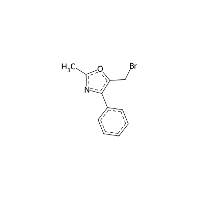 Cc1nc(-c2ccccc2)c(CBr)o1